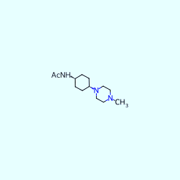 CC(=O)N[C@H]1CC[C@@H](N2CCN(C)CC2)CC1